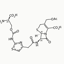 CC(=O)OCC1=C(C(=O)O)N2C(=O)[C@@H](NC(=O)Cc3csc(NC(=O)OC[C@@H](N)C(=O)O)n3)[C@H]2SC1